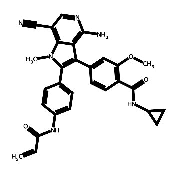 C=CC(=O)Nc1ccc(-c2c(-c3ccc(C(=O)NC4CC4)c(OC)c3)c3c(N)ncc(C#N)c3n2C)cc1